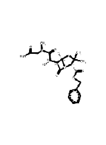 CN(CC(N)=O)C(=O)[C@@H](O)[C@@H]1C(=O)N2[C@@H]1SC(C)(C)[C@@H]2C(=O)OCc1ccccc1